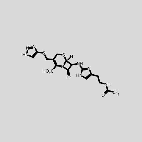 O=C(O)C1=C(CSc2c[nH]nn2)CS[C@@H]2C(Nc3nc(CCNC(=O)C(F)(F)F)c[nH]3)C(=O)N12